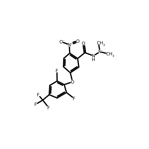 CN(C)NC(=O)c1cc(Oc2c(F)cc(C(F)(F)F)cc2F)ccc1[N+](=O)[O-]